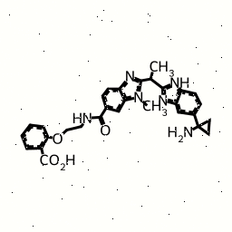 CC(c1nc2cc(C3(N)CC3)ccc2[nH]1)c1nc2ccc(C(=O)NCCOc3ccccc3C(=O)O)cc2n1C